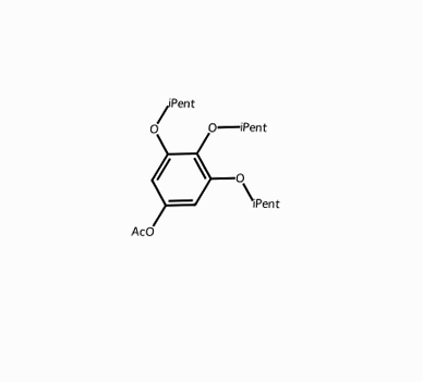 CCCC(C)Oc1cc(OC(C)=O)cc(OC(C)CCC)c1OC(C)CCC